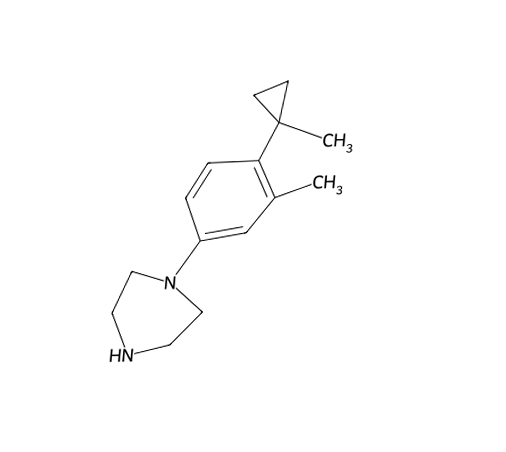 Cc1cc(N2CCNCC2)ccc1C1(C)CC1